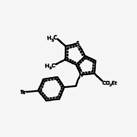 CCOC(=O)c1cc2sc(C)c(C)c2n1Cc1ccc(Br)cc1